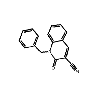 N#Cc1cc2ccccc2n(Cc2ccccc2)c1=O